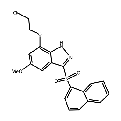 COc1cc(OCCCl)c2[nH]nc(S(=O)(=O)c3cccc4ccccc34)c2c1